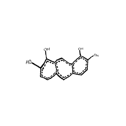 Oc1ccc2cc3ccc(O)c(O)c3cc2c1O